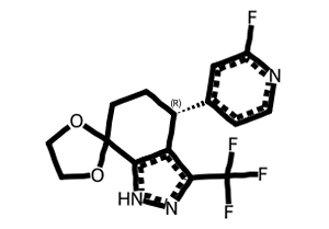 Fc1cc([C@H]2CCC3(OCCO3)c3[nH]nc(C(F)(F)F)c32)ccn1